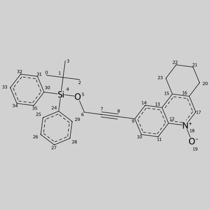 CC(C)(C)[Si](OCC#Cc1ccc2c(c1)c1c(c[n+]2[O-])CCCC1)(c1ccccc1)c1ccccc1